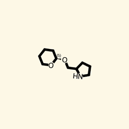 C1CC[C@H](OCC2CCCN2)OC1